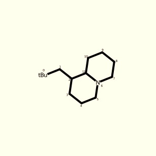 CC(C)(C)CC1CCCN2CCCCC12